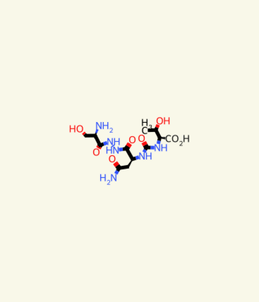 CC(O)[C@H](NC(=O)N[C@@H](CC(N)=O)C(=O)NNC(=O)[C@H](N)CO)C(=O)O